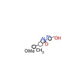 COc1cccc(C2CCc3c(cnn(-c4ccc(CO)cn4)c3=O)C2)c1C